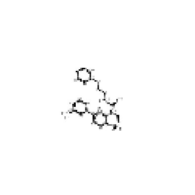 C=CN(C(=O)NCCCc1ccccc1)c1nc(-c2cccc(C(F)(F)F)c2)ccc1N